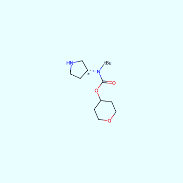 CC(C)(C)N(C(=O)OC1CCOCC1)[C@@H]1CCNC1